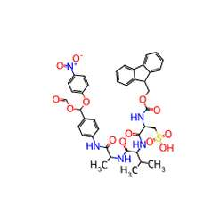 CC(C)[C@H](NC(=O)[C@H](CS(=O)(=O)O)NC(=O)OCC1c2ccccc2-c2ccccc21)C(=O)N[C@@H](C)C(=O)Nc1ccc(C(OC=O)Oc2ccc([N+](=O)[O-])cc2)cc1